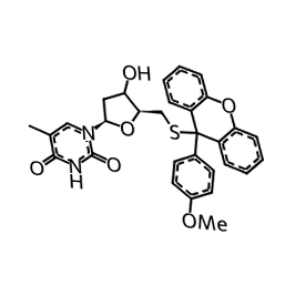 COc1ccc(C2(SC[C@H]3O[C@@H](n4cc(C)c(=O)[nH]c4=O)CC3O)c3ccccc3Oc3ccccc32)cc1